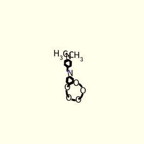 CN(C)c1ccc(/C=N/c2ccc3c(c2)OCCOCCOCCOCCO3)cc1